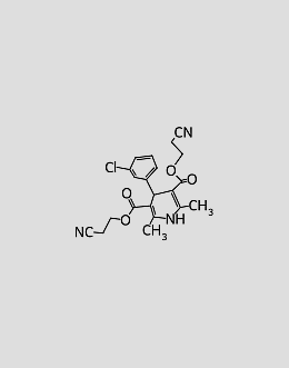 CC1=C(C(=O)OCCC#N)C(c2cccc(Cl)c2)C(C(=O)OCCC#N)=C(C)N1